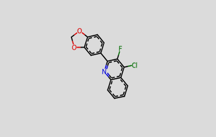 Fc1c(-c2ccc3c(c2)OCO3)nc2ccccc2c1Cl